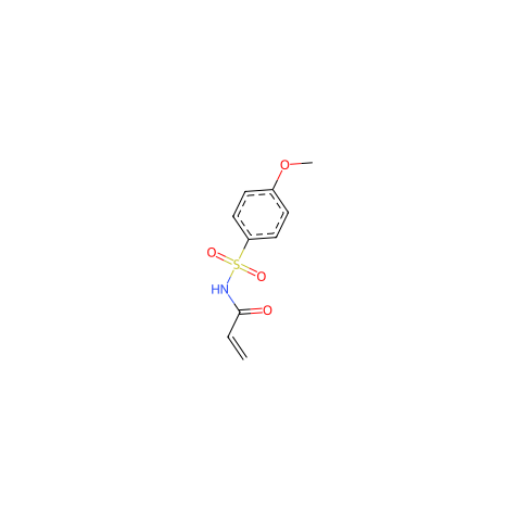 C=CC(=O)NS(=O)(=O)c1ccc(OC)cc1